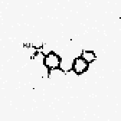 NS(=O)(=O)c1ccc(Oc2ccc3c(c2)OCO3)c(Cl)c1